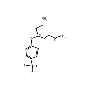 CCC[C@@H](CCNC)Oc1ccc(C(F)(F)F)cc1